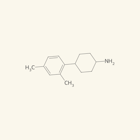 Cc1ccc(C2CCC(N)CC2)c(C)c1